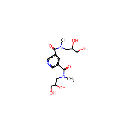 CN(CC(O)CO)C(=O)c1cncc(C(=O)N(C)CC(O)CO)c1